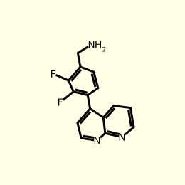 NCc1ccc(-c2ccnc3ncccc23)c(F)c1F